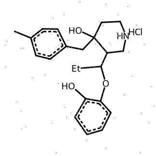 CCC(Oc1ccccc1O)C1CNCCC1(O)Cc1ccc(C)cc1.Cl